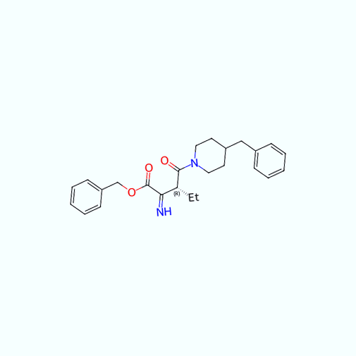 CC[C@H](C(=N)C(=O)OCc1ccccc1)C(=O)N1CCC(Cc2ccccc2)CC1